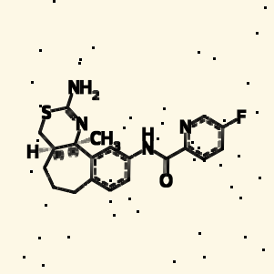 C[C@@]12N=C(N)SC[C@@H]1CCCc1ccc(NC(=O)c3ccc(F)cn3)cc12